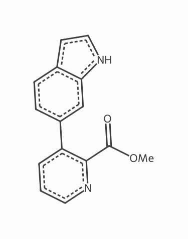 COC(=O)c1ncccc1-c1ccc2cc[nH]c2c1